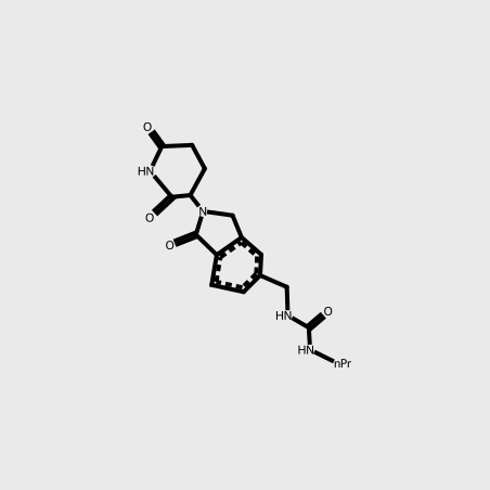 CCCNC(=O)NCc1ccc2c(c1)CN(C1CCC(=O)NC1=O)C2=O